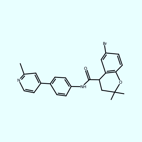 Cc1cc(-c2ccc(NC(=O)C3CC(C)(C)Oc4ccc(Br)cc43)cc2)ccn1